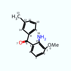 COc1cccc(C(=O)c2cccc(C)c2)c1N